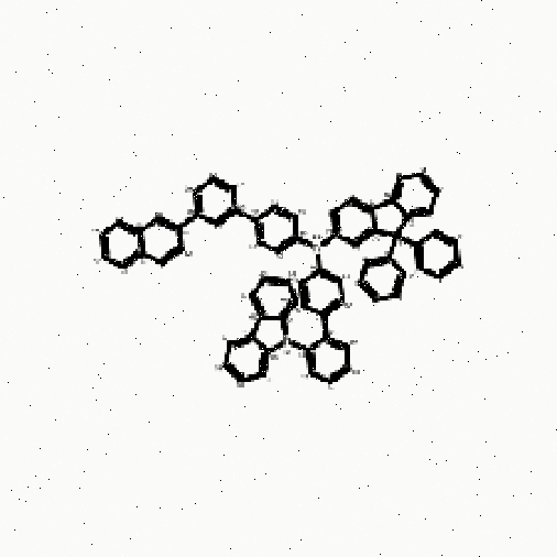 c1ccc(C2(c3ccccc3)c3ccccc3-c3ccc(N(c4ccc(-c5cccc(-c6ccc7ccccc7c6)c5)cc4)c4ccc(-c5ccccc5-n5c6ccccc6c6ccccc65)cc4)cc32)cc1